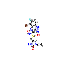 CN1C[C@H](CSc2nonc2/C(=N\O)Nc2ccc(F)c(Br)c2)NC1=O